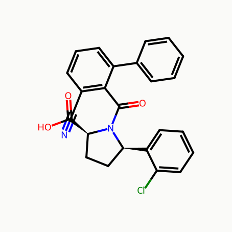 N#Cc1cccc(-c2ccccc2)c1C(=O)N1[C@@H](c2ccccc2Cl)CC[C@H]1C(=O)O